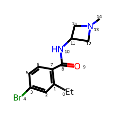 CCc1cc(Br)ccc1C(=O)NC1CN(C)C1